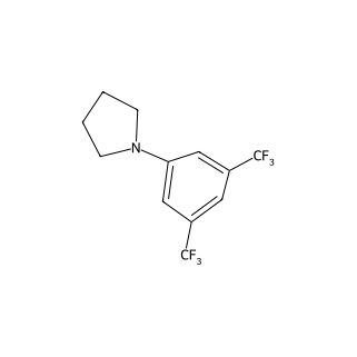 FC(F)(F)c1cc(N2CCCC2)cc(C(F)(F)F)c1